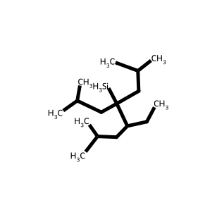 CCC(CC(C)C)C([SiH3])(CC(C)C)CC(C)C